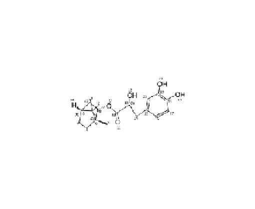 CC1(C)[C@@H]2CC[C@@]1(C)[C@@H](OC(=O)[C@H](O)Cc1ccc(O)c(O)c1)C2